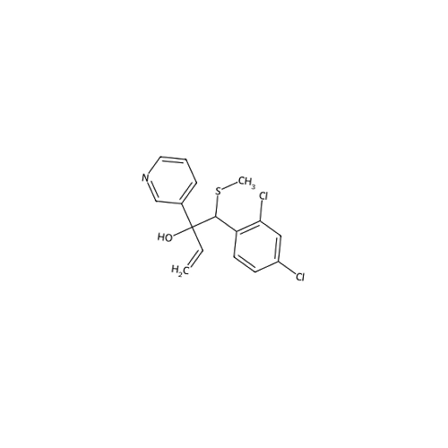 C=CC(O)(c1cccnc1)C(SC)c1ccc(Cl)cc1Cl